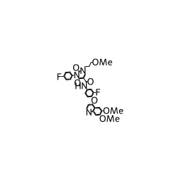 COCCCn1cc(C(=O)Nc2ccc(Oc3ccnc4cc(OC)c(OC)cc34)c(F)c2)c(=O)n(-c2ccc(F)cc2)c1=O